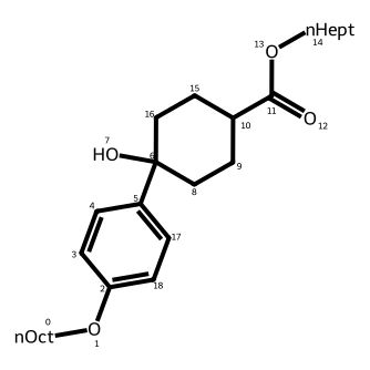 CCCCCCCCOc1ccc(C2(O)CCC(C(=O)OCCCCCCC)CC2)cc1